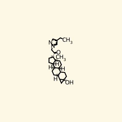 CCc1cnn(CC(=O)[C@H]2CC[C@H]3[C@@H]4CC[C@H]5C(CC[C@]6(O)CC56)[C@H]4CC[C@]23C)c1